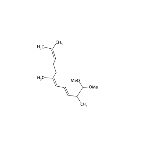 COC(OC)C(C)/C=C/C=C(C)CCC=C(C)C